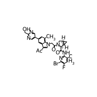 CC(=O)c1cn(CC(=O)N2C[C@H]3C[C@H]3[C@H]2C(=O)Nc2nc(Br)c(F)cc2C)c2c(C)cc(-c3cnc(CO)nc3)cc12